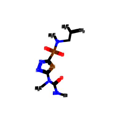 C=C(C)CN(C)S(=O)(=O)c1nnc(N(C)C(=O)NCC)s1